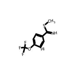 CSC(=N)c1ccc(OC(F)(F)F)cc1.I